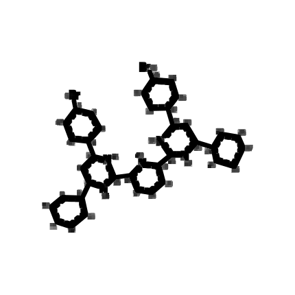 Brc1ccc(-c2cc(-c3ccccc3)nc(-c3cccc(-c4nc(-c5ccccc5)cc(-c5ccc(Br)cc5)n4)n3)n2)cc1